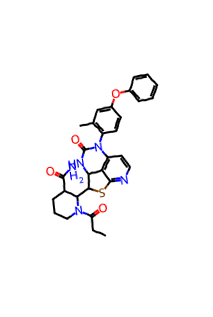 CCC(=O)N1CCCC(C(N)=O)C1C1Sc2nccc3c2C1NC(=O)N3c1ccc(Oc2ccccc2)cc1C